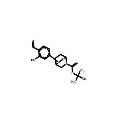 CC(C)(C)OC(=O)N1CC2CCC1CN2c1ccc(C=O)c(O)c1